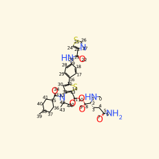 CN[C@H](CCC(N)=O)C(=O)OC(=O)c1sc(-c2ccc(NC(=O)c3cscn3)cc2)cc1N(C(=O)C1CCC(C)CC1)C(C)C